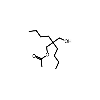 CCCCC(CO)(CCCC)COC(C)=O